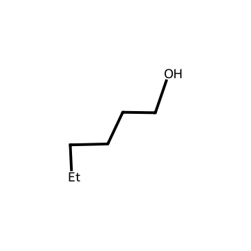 [CH]CCCCCO